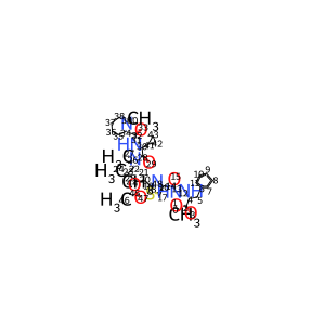 COC(=O)[C@H](Cc1ccccc1)NNC(=O)c1csc([C@@H](C[C@H](C(C)C)N(C)C(=O)[C@@H](NC(=O)[C@H]2CCCCN2C)C2CC2)OC(C)=O)n1